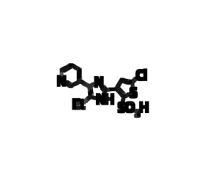 CCc1[nH]c(-c2cc(Cl)sc2S(=O)(=O)O)nc1-c1cccnc1